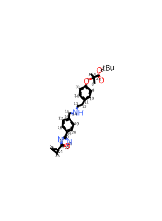 CC(C)(C)OC(=O)C(C)(C)Oc1ccc(CCNCc2ccc(-c3noc(C4CC4)n3)cc2)cc1